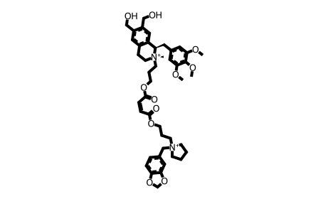 COc1cc(C[C@@H]2c3cc(CO)c(CO)cc3CC[N@@+]2(C)CCCOC(=O)/C=C\C(=O)OCCC[N+]2(Cc3ccc4c(c3)OCO4)CCCC2)cc(OC)c1OC